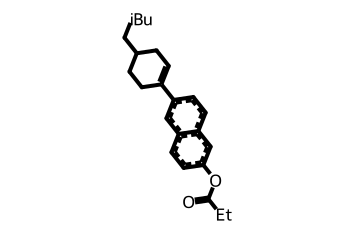 CCC(=O)Oc1ccc2cc(C3=CCC(CC(C)CC)CC3)ccc2c1